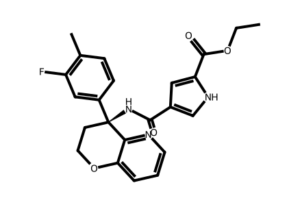 CCOC(=O)c1cc(C(=O)N[C@]2(c3ccc(C)c(F)c3)CCOc3cccnc32)c[nH]1